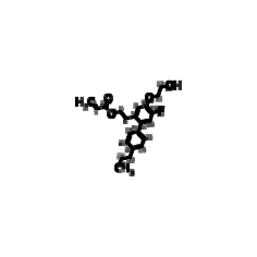 C=CC(=O)OCCc1cc(OCCO)c(F)cc1-c1ccc(CCC)cc1